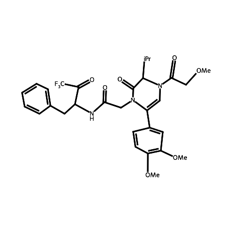 COCC(=O)N1C=C(c2ccc(OC)c(OC)c2)N(CC(=O)NC(Cc2ccccc2)C(=O)C(F)(F)F)C(=O)C1C(C)C